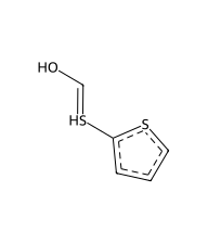 OC=[SH]c1cccs1